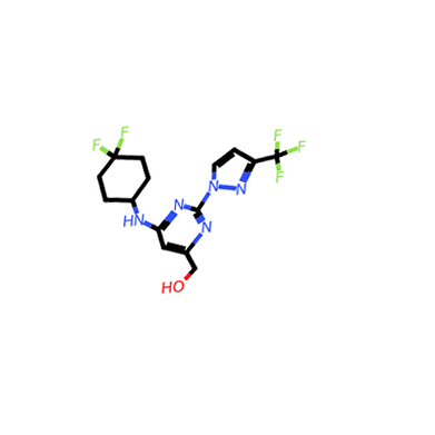 OCc1cc(NC2CCC(F)(F)CC2)nc(-n2ccc(C(F)(F)F)n2)n1